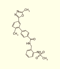 Cc1nnc(-c2ccc(C)c(-c3ccc(C(=O)NCc4ccccc4NS(C)(=O)=O)cc3)c2)o1